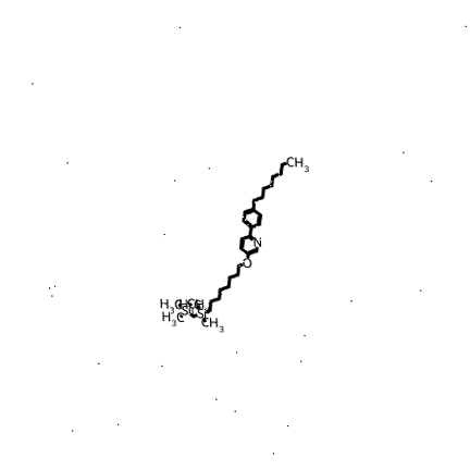 CCCCCCCCc1ccc(-c2ccc(OCCCCCCCC[Si](C)(C)C[Si](C)(C)C)cn2)cc1